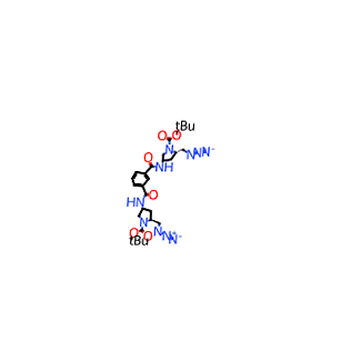 CC(C)(C)OC(=O)N1C[C@@H](NC(=O)c2cccc(C(=O)N[C@H]3C[C@@H](CN=[N+]=[N-])N(C(=O)OC(C)(C)C)C3)c2)C[C@H]1CN=[N+]=[N-]